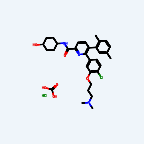 Cc1ccc(C)c(-c2ccc(C(=O)NC3CCC(O)CC3)nc2-c2ccc(Cl)c(OCCCN(C)C)c2)c1.Cl.O=C(O)O